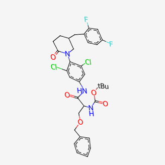 CC(C)(C)OC(=O)NC(COCc1ccccc1)C(=O)Nc1cc(Cl)c(N2CC(Cc3ccc(F)cc3F)CCC2=O)c(Cl)c1